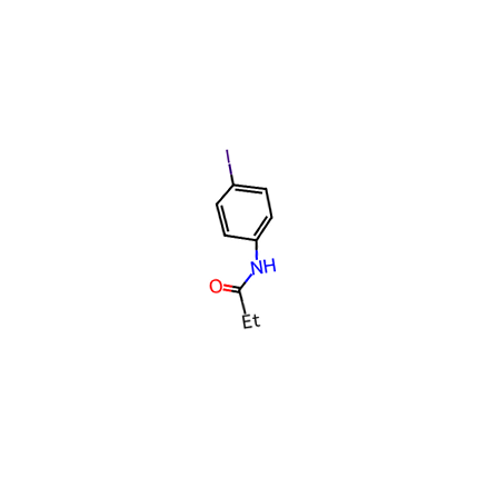 CCC(=O)Nc1ccc(I)cc1